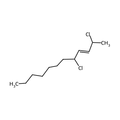 CCCCCCCC(Cl)/C=C/C(C)Cl